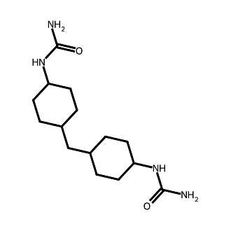 NC(=O)NC1CCC(CC2CCC(NC(N)=O)CC2)CC1